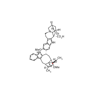 C/C=C1/CN(C)[C@H]2Cc3c([nH]c4ccccc34)[C@H](c3cc4[nH]c5c(c4cc3OC)CC[N@@]3C[C@@H]4C[C@H](CC)[C@H]3[C@@]5(C(=O)O)C4)C[C@@H]1[C@@H]2C(=O)OC